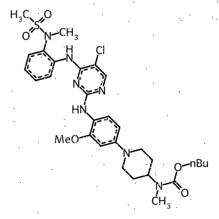 CCCCOC(=O)N(C)C1CCN(c2ccc(Nc3ncc(Cl)c(Nc4ccccc4N(C)S(C)(=O)=O)n3)c(OC)c2)CC1